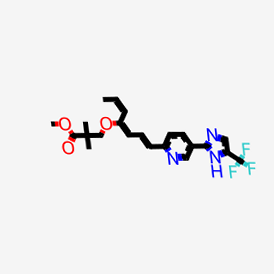 C\C=C/C(=C\C=C\c1ccc(-c2ncc(C(F)(F)F)[nH]2)cn1)OCC(C)(C)C(=O)OC